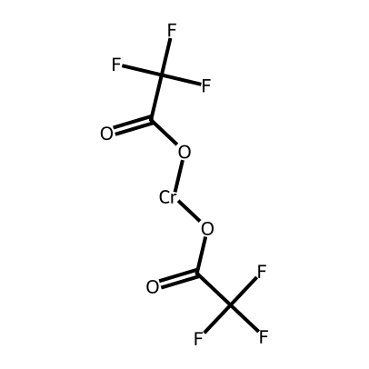 O=C([O][Cr][O]C(=O)C(F)(F)F)C(F)(F)F